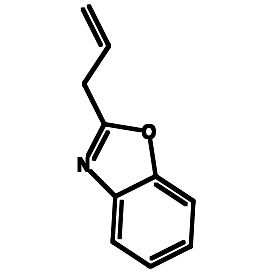 C=CCc1nc2ccccc2o1